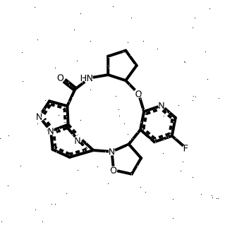 O=C1NC2CCCC2Oc2ncc(F)cc2C2CCON2c2ccn3ncc1c3n2